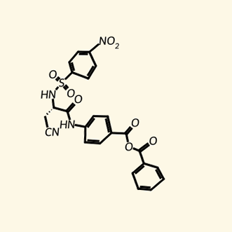 N#CC[C@H](NS(=O)(=O)c1ccc([N+](=O)[O-])cc1)C(=O)Nc1ccc(C(=O)OC(=O)c2ccccc2)cc1